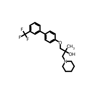 CC(O)(COc1ccc(-c2cccc(C(F)(F)F)c2)cc1)CN1CCCCC1